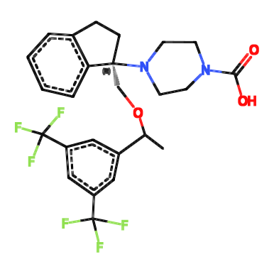 CC(OC[C@@]1(N2CCN(C(=O)O)CC2)CCc2ccccc21)c1cc(C(F)(F)F)cc(C(F)(F)F)c1